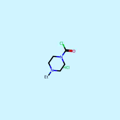 CCN1CCN(C(=O)Cl)CC1.Cl